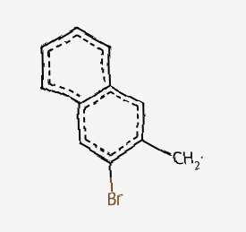 [CH2]c1cc2ccccc2cc1Br